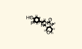 CN(C(=O)n1cnc(-c2ccc(O)c(F)c2)c1)C1CCOCC1